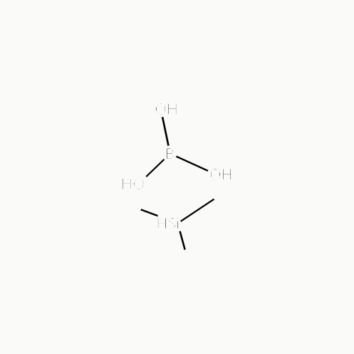 C[SiH](C)C.OB(O)O